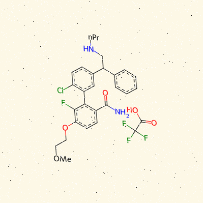 CCCNCC(c1ccccc1)c1ccc(Cl)c(-c2c(C(N)=O)ccc(OCCOC)c2F)c1.O=C(O)C(F)(F)F